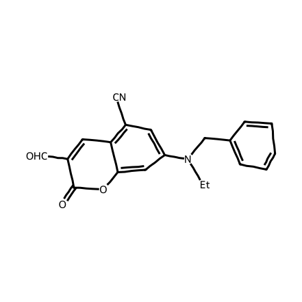 CCN(Cc1ccccc1)c1cc(C#N)c2cc(C=O)c(=O)oc2c1